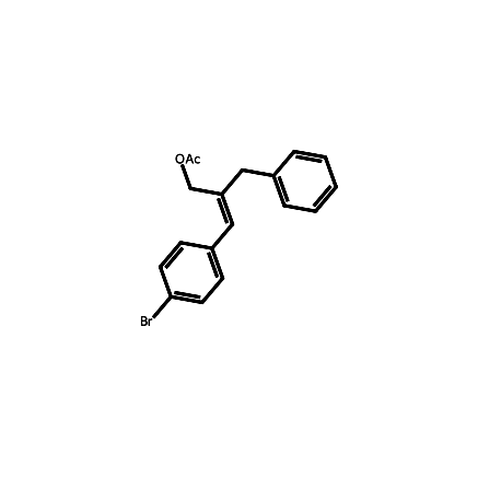 CC(=O)OC/C(=C\c1ccc(Br)cc1)Cc1ccccc1